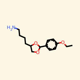 CCOc1ccc(C2OCC(CCCCN)O2)cc1